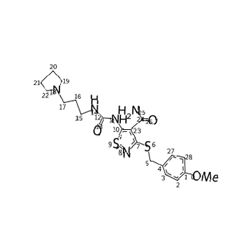 COc1ccc(CSc2nsc(NC(=O)NCCCN3CCCC3)c2C(N)=O)cc1